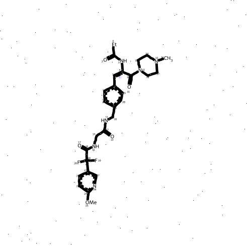 CCC(=O)N/C(=C/c1ccc(CNC(=O)CNC(=O)C(F)(F)c2ccc(OC)nc2)cc1)C(=O)N1CCN(C)CC1